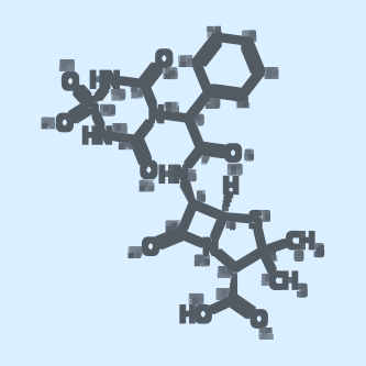 CC1(C)S[C@@H]2[C@H](NC(=O)C(c3ccccc3)N3C(=O)NS(=O)(=O)NC3=O)C(=O)N2[C@H]1C(=O)O